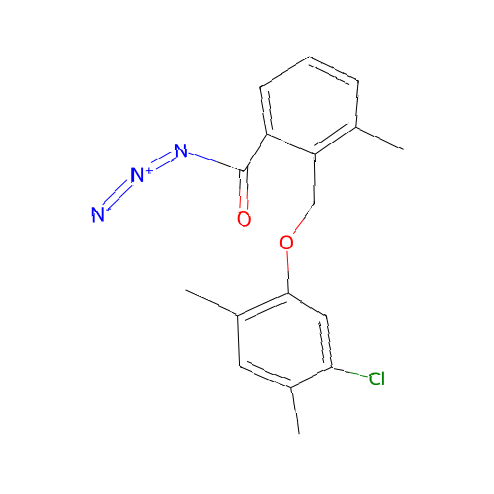 Cc1cc(C)c(OCc2c(C)cccc2C(=O)N=[N+]=[N-])cc1Cl